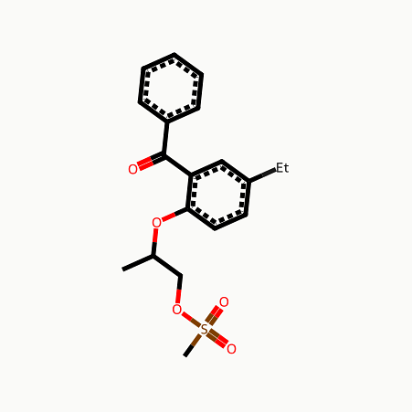 CCc1ccc(OC(C)COS(C)(=O)=O)c(C(=O)c2ccccc2)c1